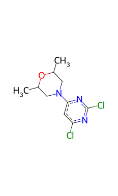 CC1CN(c2cc(Cl)nc(Cl)n2)CC(C)O1